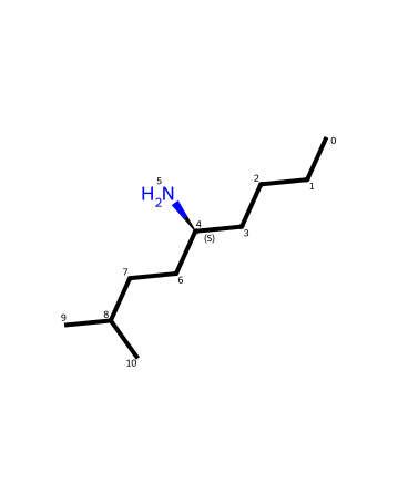 CCCC[C@H](N)CCC(C)C